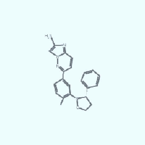 Cc1ccc(-c2ccc3nc(N)cn3n2)cc1N1OCC[C@H]1c1ccccc1